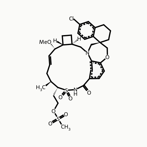 CO[C@H]1/C=C/C[C@H](C)[C@@H](CCOS(C)(=O)=O)S(=O)(=O)NC(=O)c2ccc3c(c2)N(C[C@@H]2CC[C@H]21)C[C@@]1(CCCc2cc(Cl)ccc21)CO3